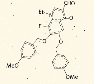 CCn1cc(C=O)c(=O)c2cc(OCc3ccc(OC)cc3)c(OCc3ccc(OC)cc3)c(F)c21